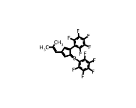 CC(C)=CC1=CC(=Bc2c(F)c(F)c(F)c(F)c2F)C(c2c(F)c(F)c(F)c(F)c2F)=C1